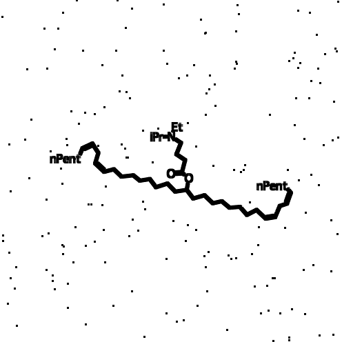 CCCCC/C=C\C/C=C\CCCCCCCCC(CCCCCCCC/C=C\C/C=C\CCCCC)OC(=O)CCCN(CC)C(C)C